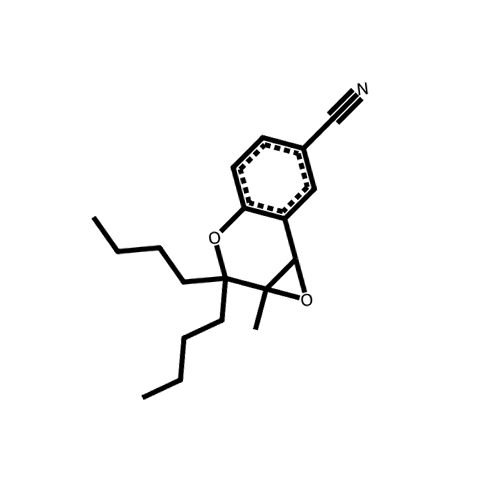 CCCCC1(CCCC)Oc2ccc(C#N)cc2C2OC21C